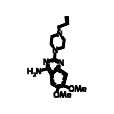 C=CCN1CCN(c2nc(N)c3cc(OC)c(OC)cc3n2)CC1